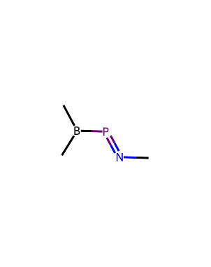 C/N=P/B(C)C